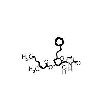 C=CCC/C(C)=C\C(=O)O[C@@H]1CC(CCc2ccccc2)O[C@@](O)([C@@H]2CSC(=O)N2)C1